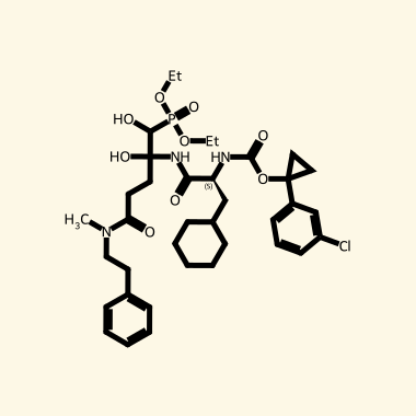 CCOP(=O)(OCC)C(O)C(O)(CCC(=O)N(C)CCc1ccccc1)NC(=O)[C@H](CC1CCCCC1)NC(=O)OC1(c2cccc(Cl)c2)CC1